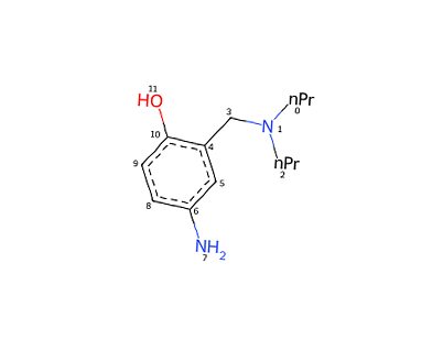 CCCN(CCC)Cc1cc(N)ccc1O